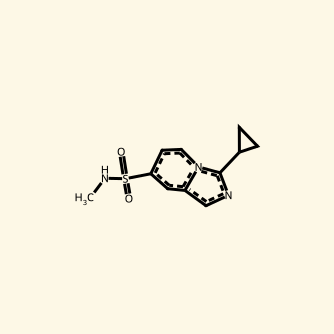 CNS(=O)(=O)c1ccn2c(C3CC3)ncc2c1